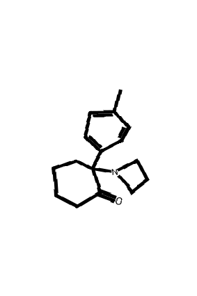 Cc1ccc(C2(N3CCC3)CCCCC2=O)cc1